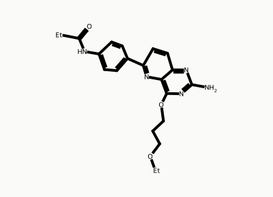 CCOCCCOc1nc(N)nc2ccc(-c3ccc(NC(=O)CC)cc3)nc12